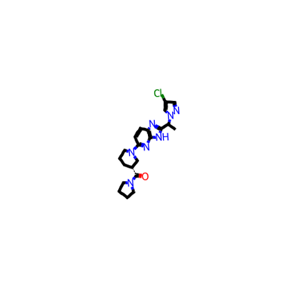 CC(c1nc2ccc(N3CCC[C@@H](C(=O)N4CCCC4)C3)nc2[nH]1)n1cc(Cl)cn1